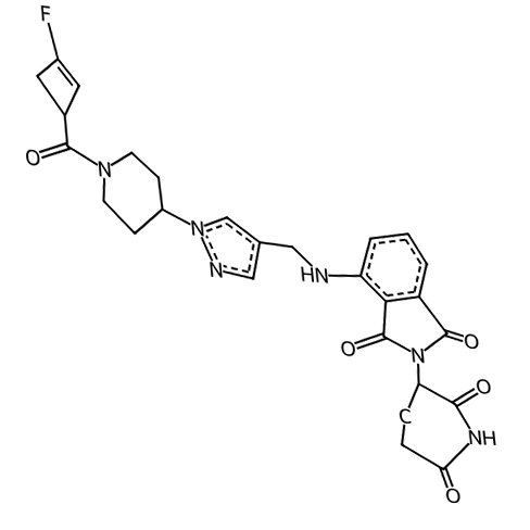 O=C1CCC(N2C(=O)c3cccc(NCc4cnn(C5CCN(C(=O)C6C=C(F)C6)CC5)c4)c3C2=O)C(=O)N1